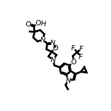 CCn1cc(C2CC2)c2c(OCC(F)(F)F)cc(CN3CC4(CC(N5CCC(C)(C(=O)O)CC5)=NO4)C3)cc21